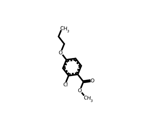 CCCOc1ccc(C(=O)OC)c(Cl)c1